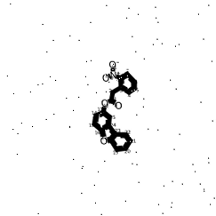 O=C(Cc1ccccc1[N+](=O)[O-])Oc1ccc2oc3ccccc3c2c1